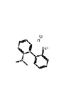 CN(C)c1ccccc1-c1cccc[c]1[Pd+2].[Cl-].[Cl-]